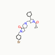 O=C(C1CC1)N1CC(CN2CCC3(CC2)CCN(Cc2ccc(Br)cc2)C3=O)C(c2ccccc2)C1